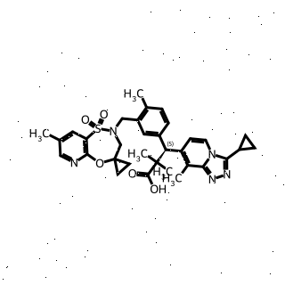 Cc1cnc2c(c1)S(=O)(=O)N(Cc1cc([C@@H](c3ccn4c(C5CC5)nnc4c3C)C(C)(C)C(=O)O)ccc1C)CC1(CC1)O2